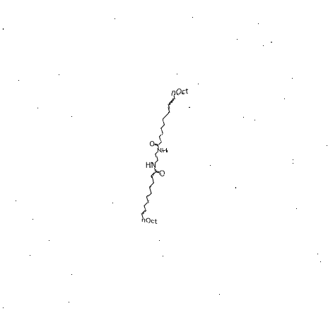 CCCCCCCC/C=C/CCCCCCCC(=O)NCCNC(=O)CCCCCCC/C=C/CCCCCCCC